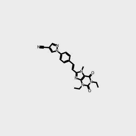 CCn1c(=O)c2c(nc(/C=C/c3ccc(-n4cc(C#N)cn4)cc3)n2C)n(CC)c1=O